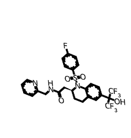 O=C(C[C@@H]1CCc2cc(C(O)(C(F)(F)F)C(F)(F)F)ccc2N1S(=O)(=O)c1ccc(F)cc1)NCc1ccccn1